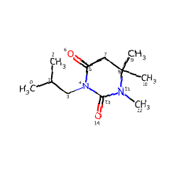 CC(C)CN1C(=O)CC(C)(C)N(C)C1=O